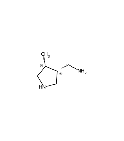 C[C@H]1CNC[C@H]1CN